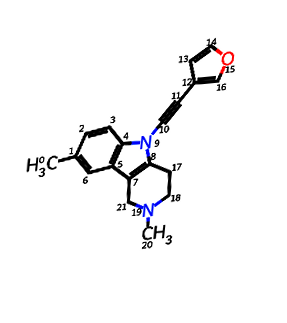 Cc1ccc2c(c1)c1c(n2C#Cc2ccoc2)CCN(C)C1